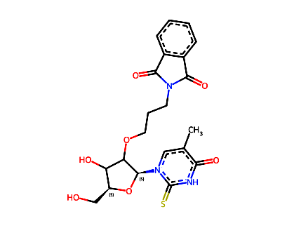 Cc1cn([C@H]2O[C@@H](CO)C(O)C2OCCCN2C(=O)c3ccccc3C2=O)c(=S)[nH]c1=O